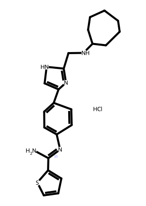 Cl.N/C(=N\c1ccc(-c2c[nH]c(CNC3CCCCCC3)n2)cc1)c1cccs1